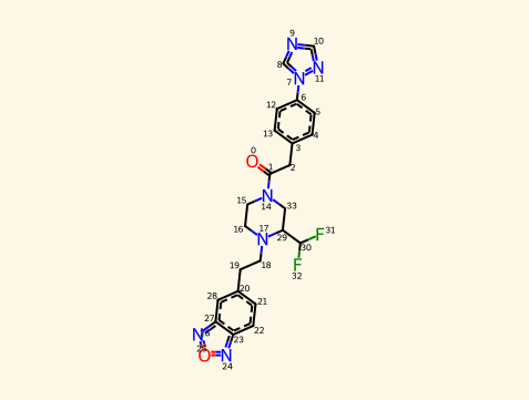 O=C(Cc1ccc(-n2cncn2)cc1)N1CCN(CCc2ccc3nonc3c2)C(C(F)F)C1